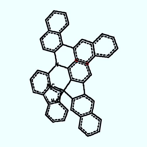 CC1(C)c2cc3ccccc3cc2-c2cccc(N(c3ccc4ccccc4c3-c3ccc4ccccc4c3)c3cccc4c3sc3ccccc34)c21